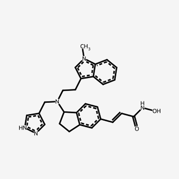 Cn1cc(CCN(Cc2cn[nH]c2)C2CCc3cc(C=CC(=O)NO)ccc32)c2ccccc21